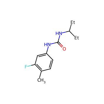 CCC(CC)NC(=O)Nc1ccc(C)c(F)c1